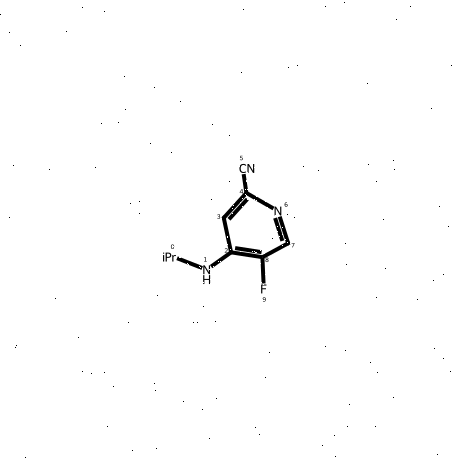 CC(C)Nc1cc(C#N)ncc1F